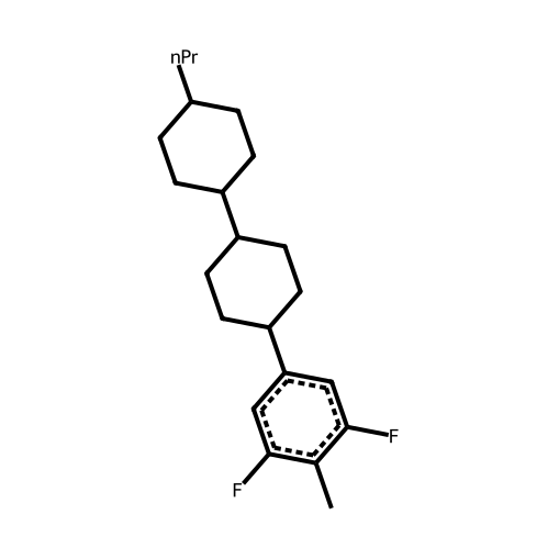 CCCC1CCC(C2CCC(c3cc(F)c(C)c(F)c3)CC2)CC1